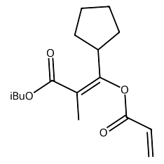 C=CC(=O)OC(=C(C)C(=O)OCC(C)C)C1CCCC1